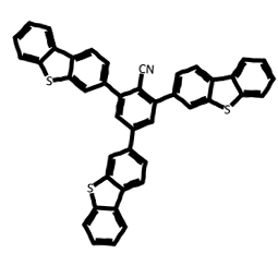 N#Cc1c(-c2ccc3c(c2)sc2ccccc23)cc(-c2ccc3c(c2)sc2ccccc23)cc1-c1ccc2c(c1)sc1ccccc12